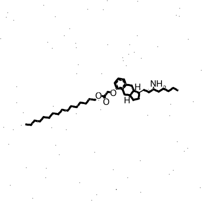 CCCCCCCCCCCCCCCCOC(=O)COc1cccc2c1C[C@H]1CC[C@H](CC[C@@H](N)CCCCC)[C@H]1C2